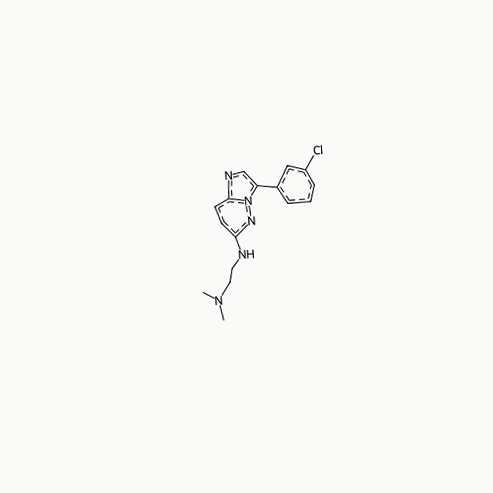 CN(C)CCNc1ccc2ncc(-c3cccc(Cl)c3)n2n1